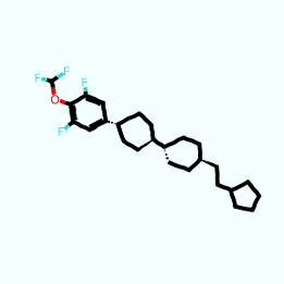 Fc1cc([C@H]2CC[C@H]([C@H]3CC[C@H](CCC4CCCC4)CC3)CC2)cc(F)c1OC(F)F